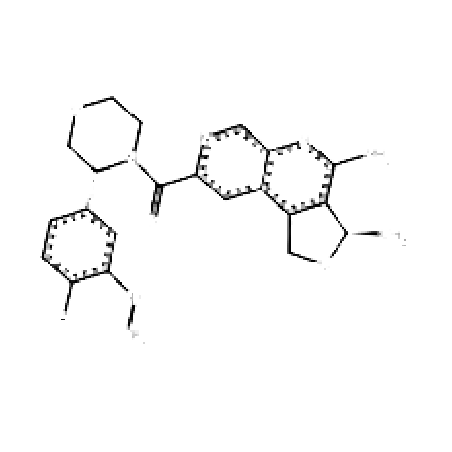 C[C@H]1OCc2c1c(N)nc1cnc(C(=O)N3CCOC[C@H]3c3ccc(F)c(OC(F)(F)F)c3)cc21